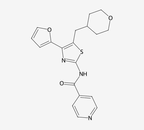 O=C(Nc1nc(-c2ccco2)c(CC2CCOCC2)s1)c1ccncc1